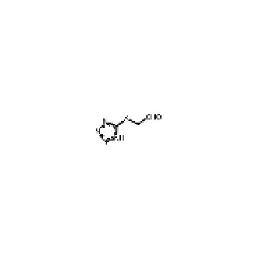 O=[C]CSc1nnn[nH]1